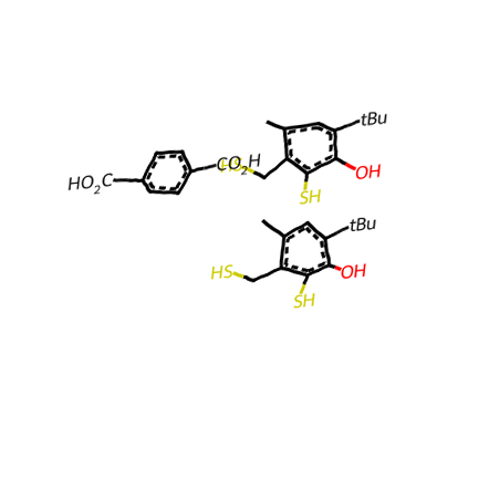 Cc1cc(C(C)(C)C)c(O)c(S)c1CS.Cc1cc(C(C)(C)C)c(O)c(S)c1CS.O=C(O)c1ccc(C(=O)O)cc1